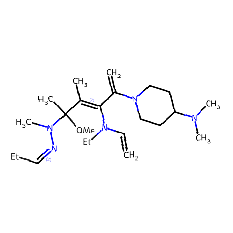 C=CN(CC)/C(C(=C)N1CCC(N(C)C)CC1)=C(/C)C(C)(OC)N(C)/N=C\CC